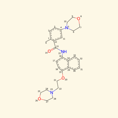 Cc1ccc(N2CCOCC2)cc1C(=O)Nc1ccc(OCCN2CCOCC2)c2ccccc12